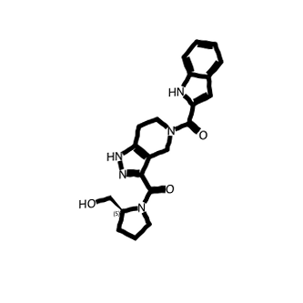 O=C(c1cc2ccccc2[nH]1)N1CCc2[nH]nc(C(=O)N3CCC[C@H]3CO)c2C1